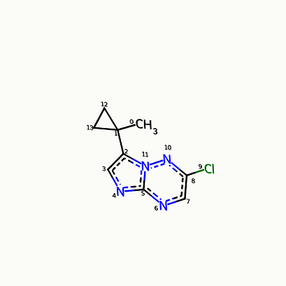 CC1(c2cnc3ncc(Cl)nn23)CC1